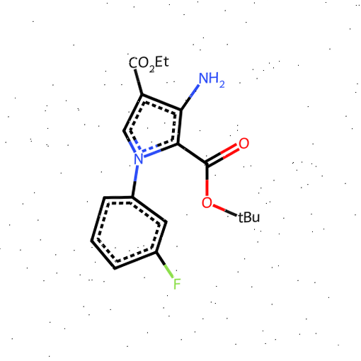 CCOC(=O)c1cn(-c2cccc(F)c2)c(C(=O)OC(C)(C)C)c1N